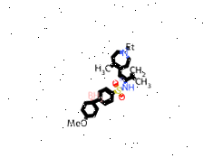 BC1(c2ccc(S(=O)(=O)N/C(=C/C3=C(C)CCN(CC)CC3)C(=C)C)cc2)CCC(OC)CC1